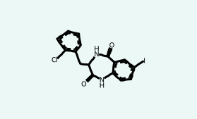 O=C1NC(Cc2ccccc2Cl)C(=O)Nc2ccc(I)cc21